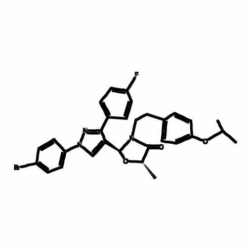 CC(C)Oc1ccc(CCN2C(=O)[C@H](C)O[C@H]2c2cn(-c3ccc(Br)cc3)nc2-c2ccc(F)cc2)cc1